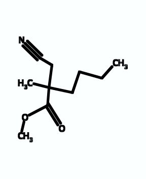 CCCCC(C)(CC#N)C(=O)OC